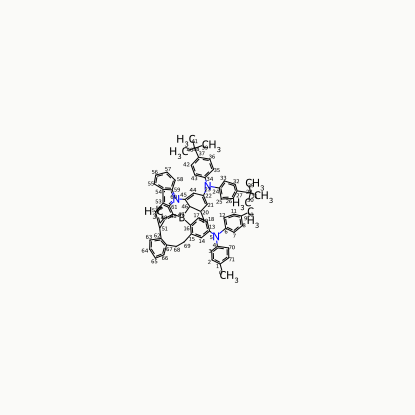 Cc1ccc(N(c2ccc(C)cc2)c2cc3c4c(c2)CC2C=C(N(c5ccc(C(C)(C)C)cc5)c5ccc(C(C)(C)C)cc5)C=C5C2B4c2c(C)c(cc4c6ccccc6n5c24)-c2ccccc2CC3)cc1